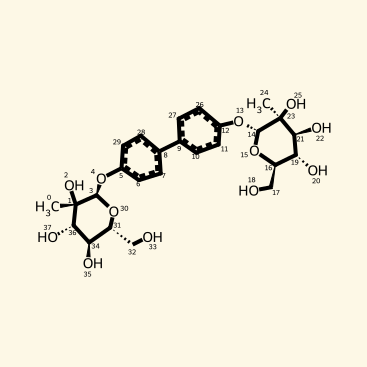 C[C@@]1(O)[C@@H](Oc2ccc(-c3ccc(O[C@H]4O[C@H](CO)[C@@H](O)[C@H](O)[C@]4(C)O)cc3)cc2)O[C@H](CO)[C@@H](O)[C@@H]1O